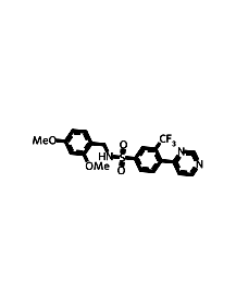 COc1ccc(CNS(=O)(=O)c2ccc(-c3ccncn3)c(C(F)(F)F)c2)c(OC)c1